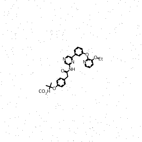 CCOc1cccnc1Oc1cccc(-c2cncc(NC(=O)Cc3ccc(OC(C)(C)C(=O)O)cc3)n2)c1